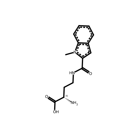 Cn1c(C(=O)NCC[C@H](N)C(=O)O)cc2ccccc21